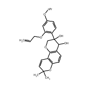 C=CCOc1cc(OCCC)ccc1C1(O)COc2c(ccc3c2C=CC(C)(C)O3)C1O